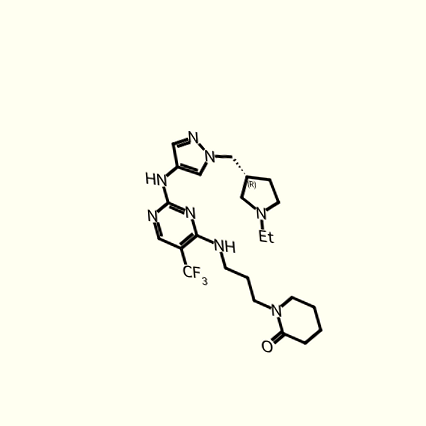 CCN1CC[C@@H](Cn2cc(Nc3ncc(C(F)(F)F)c(NCCCN4CCCCC4=O)n3)cn2)C1